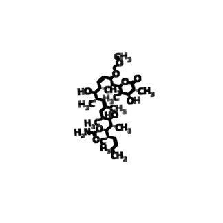 C=C/C=C\[C@H](C)[C@H](OC(N)=O)[C@@H](C)[C@H](O)[C@@H](C)C/C(C)=C\[C@H](C)[C@@H](O)[C@@H](C)/C=C\[C@H](CC1OC(=O)[C@H](C)[C@@H](O)[C@H]1C)OCOC